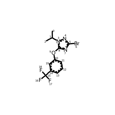 CC(C)n1nc(Br)nc1Oc1cccc(C(F)(F)F)c1